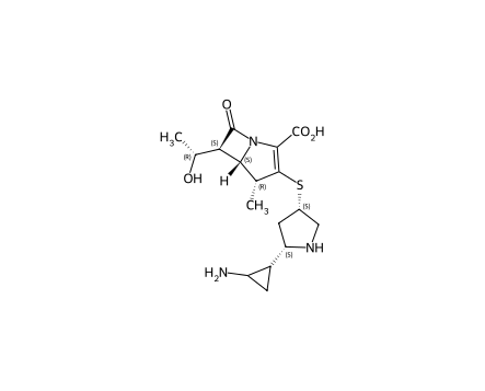 C[C@@H](O)[C@H]1C(=O)N2C(C(=O)O)=C(S[C@@H]3CN[C@H](C4CC4N)C3)[C@H](C)[C@H]12